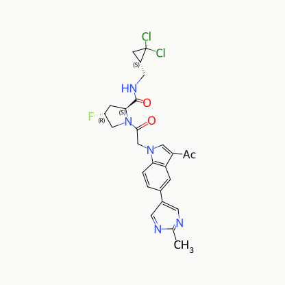 CC(=O)c1cn(CC(=O)N2C[C@H](F)C[C@H]2C(=O)NC[C@@H]2CC2(Cl)Cl)c2ccc(-c3cnc(C)nc3)cc12